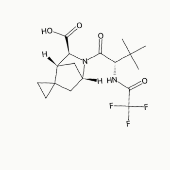 CC(C)(C)[C@H](NC(=O)C(F)(F)F)C(=O)N1[C@H]2C[C@@H]([C@H]1C(=O)O)C1(CC1)C2